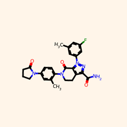 Cc1cc(F)cc(-n2nc(C(N)=O)c3c2C(=O)N(c2ccc(N4CCCC4=O)cc2C)CC3)c1